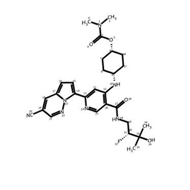 CN(C)C(=O)O[C@H]1CC[C@@H](Nc2cc(-c3ccc4cc(C#N)cnn34)ncc2C(=O)NC[C@@H](F)C(C)(C)O)CC1